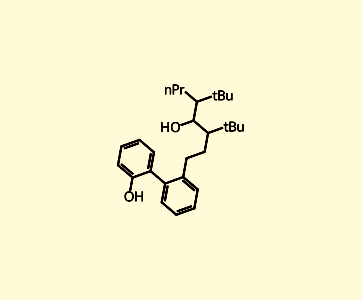 CCCC(C(O)C(CCc1ccccc1-c1ccccc1O)C(C)(C)C)C(C)(C)C